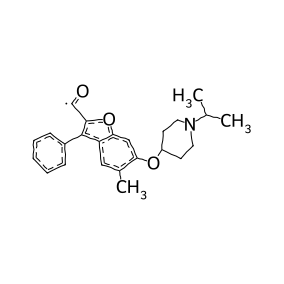 Cc1cc2c(-c3ccccc3)c([C]=O)oc2cc1OC1CCN(C(C)C)CC1